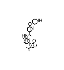 CC(Nc1nccc(N2C(=O)OCC2C(C)C)n1)c1ccc(OC2CCNCC2)nc1